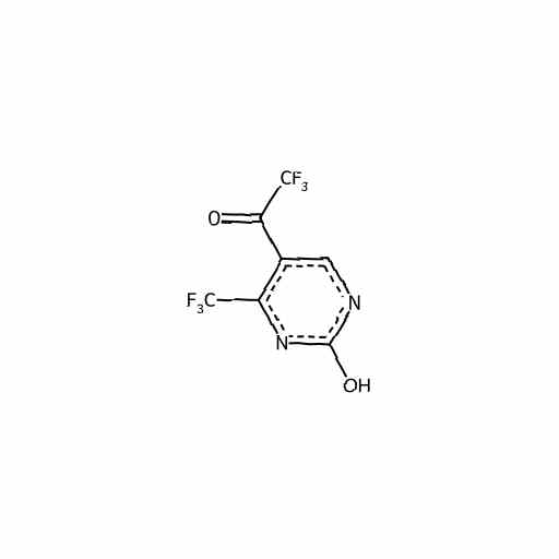 O=C(c1cnc(O)nc1C(F)(F)F)C(F)(F)F